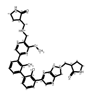 COc1nc(-c2cccc(-c3cccc(-c4cnc5c(n4)ON(CC4CCNC4=O)C5)c3Cl)c2C)cnc1CNCC1CCNC1=O